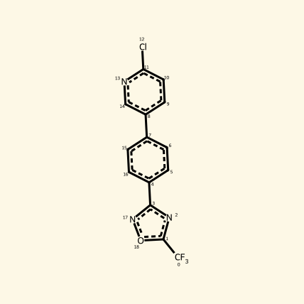 FC(F)(F)c1nc(-c2ccc(-c3ccc(Cl)nc3)cc2)no1